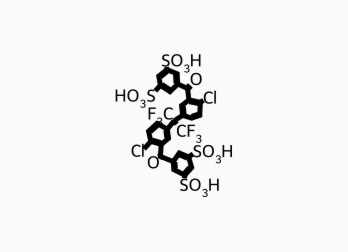 O=C(c1cc(S(=O)(=O)O)cc(S(=O)(=O)O)c1)c1cc(C(c2ccc(Cl)c(C(=O)c3cc(S(=O)(=O)O)cc(S(=O)(=O)O)c3)c2)(C(F)(F)F)C(F)(F)F)ccc1Cl